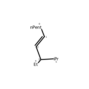 CCCCCC=CC(CC)C(C)C